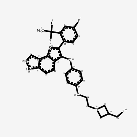 CC(F)(F)c1cc(F)ccc1-c1sc2c(ccc3[nH]ncc32)c1Oc1ccc(OCCN2CC(CF)C2)cc1